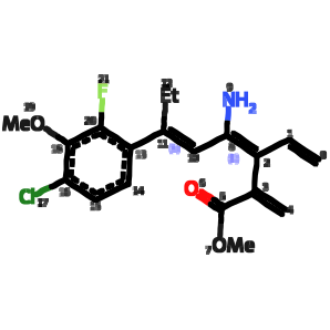 C=C/C(C(=C)C(=O)OC)=C(N)/C=C(\CC)c1ccc(Cl)c(OC)c1F